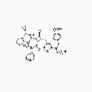 COc1ccc(CN(C(=O)O)c2cc(C[C@H]3C(=O)N(C(=O)N[C@@H](c4ccccc4)C4CC4)[C@@H]3C(=O)N(C)c3ccncc3)ccn2)cc1